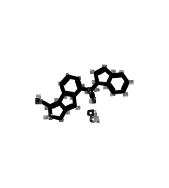 [Cl-].[Cl-].[S]=[Zr+2]([c]1cccc2c1C=C1CSC(Br)=C12)[CH]1C=Cc2ccccc21